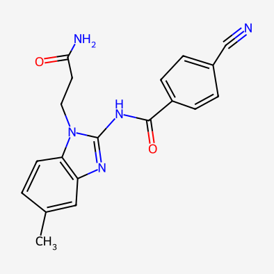 Cc1ccc2c(c1)nc(NC(=O)c1ccc(C#N)cc1)n2CCC(N)=O